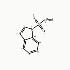 CCCCCS(=O)(=O)n1cnc2ccccc21